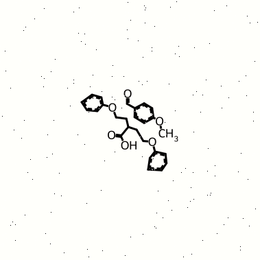 COc1ccc(C=O)cc1.O=C(O)C(CCOc1ccccc1)CCOc1ccccc1